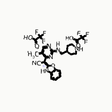 Cc1cnc(NCC2CCNCC2)nc1/C(C#N)=C1/Nc2ccccc2O1.O=C(O)C(F)(F)F.O=C(O)C(F)(F)F